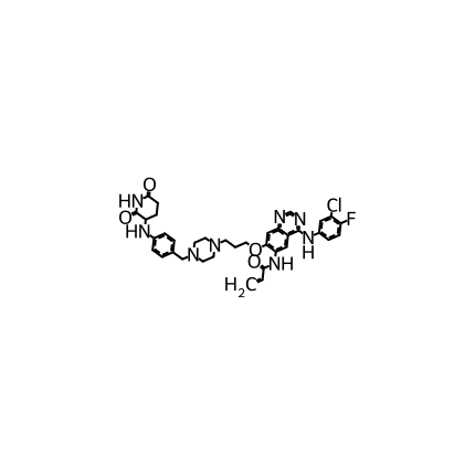 C=CC(=O)Nc1cc2c(Nc3ccc(F)c(Cl)c3)ncnc2cc1OCCCN1CCN(Cc2ccc(NC3CCC(=O)NC3=O)cc2)CC1